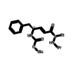 CCN(NC(C)C)C(=O)C=C[C@H](Cc1ccccc1)NC(=O)OC(C)(C)C